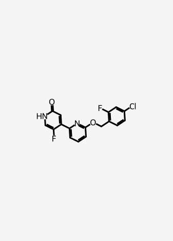 O=c1cc(-c2cccc(OCc3ccc(Cl)cc3F)n2)c(F)c[nH]1